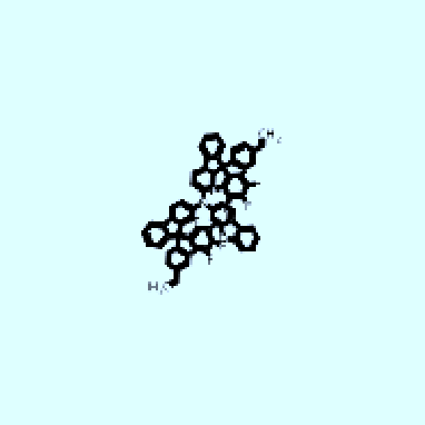 C=Cc1ccc(C2(c3c(F)c(F)c(F)c(F)c3F)c3ccccc3-c3ccc(N(c4ccc5c(c4)C(c4ccc(C=C)cc4)(c4c(F)c(F)c(F)c(F)c4F)c4ccccc4-5)c4ccc5c(c4)oc4ccccc45)cc32)cc1